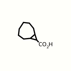 O=C(O)C1C2CCCCCCC21